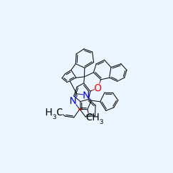 C/C=C\c1nc(-c2cccc3c2C2(c4ccccc4-3)c3ccc4ccccc4c3Oc3c2ccc2ccccc32)nc(-c2ccccc2)c1C